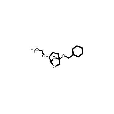 CCO[C@@H]1CC[C@]2(OCC3CCCCC3)COC1O2